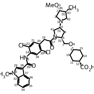 CO[C@H]1CN([C@H]2C[C@@H](CO[C@H]3CC[C@H](C(=O)O)CC3)N(C(=O)Cc3cc(Cl)c(NC(=O)c4cn(C)c5ccccc45)cc3Cl)C2)C[C@@H]1C